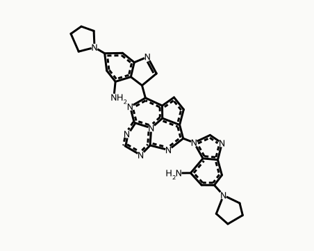 Nc1cc(N2CCCC2)cc2c1C(c1nc3ncnc4nc(-n5cnc6cc(N7CCCC7)cc(N)c65)c5ccc1c5n34)C=N2